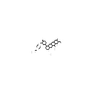 COC1CCC(C2CCC(O)C3C(O)C4C(C)[C@]5(C)C(=O)C(C(C)O)C(C)C[C@]5(C)C[C@]4(C)CC23)CC1CN1CCN(CCO)CC1